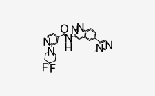 Cn1cncc1-c1ccc2nnc(NC(=O)c3ccnc(N4CCC(F)(F)CC4)c3)cc2c1